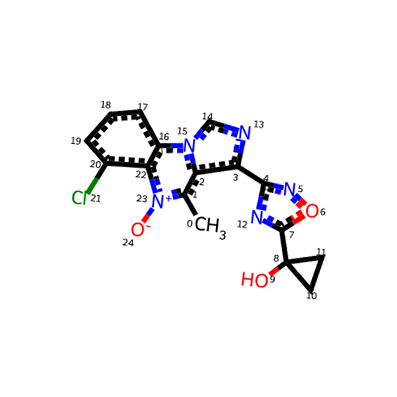 Cc1c2c(-c3noc(C4(O)CC4)n3)ncn2c2cccc(Cl)c2[n+]1[O-]